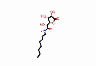 CCCCCCC=CNC(=O)[C@H](O)[C@H]1OC(=O)[C@@H](O)[C@H]1O